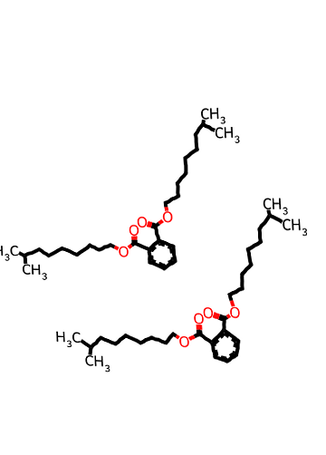 CC(C)CCCCCCCOC(=O)c1ccccc1C(=O)OCCCCCCCC(C)C.CC(C)CCCCCCCOC(=O)c1ccccc1C(=O)OCCCCCCCC(C)C